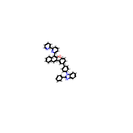 c1ccc(-c2nc3ccccc3n2-c2ccc(-c3ccc4oc5c(-c6cccc(-c7ccccn7)n6)c6ccccc6cc5c4c3)cc2)cc1